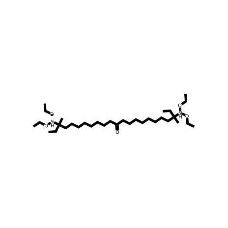 CCO[SiH](OCC)C(C)(CC)CCCCCCCCC(=O)CCCCCCCCC(C)(CC)[SiH](OCC)OCC